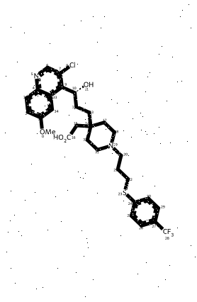 COc1ccc2ncc(Cl)c([C@H](O)CCC3(CC(=O)O)CCN(CCCSc4ccc(C(F)(F)F)cc4)CC3)c2c1